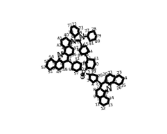 S=P(c1ccc(-c2c3ccc4ccccc4c3nc3c2ccc2ccccc23)cc1)(c1ccc(-c2c3ccc4ccccc4c3nc3c2ccc2ccccc23)cc1)c1cccc(-c2ccc(-c3nc4ccccc4n3-c3ccccc3)cc2)c1